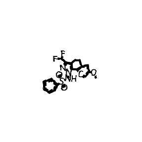 COc1ccc2c(c1)CCc1c(C(F)F)nn(NS(=O)(=O)c3ccccc3)c1-2